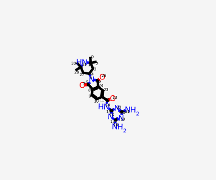 CC1(C)CC(N2C(=O)c3ccc(C(=O)Nc4nc(N)nc(N)n4)cc3C2=O)CC(C)(C)N1